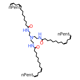 CCCCC/C=C\C/C=C\CCCCCCCC(=O)NCCN(CCNC(=O)CCCCCCC/C=C\C/C=C\CCCCC)CCNC(=O)CCCCCCC/C=C\C/C=C\CCCCC